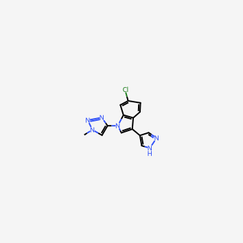 Cn1cc(-n2cc(-c3cn[nH]c3)c3ccc(Cl)cc32)nn1